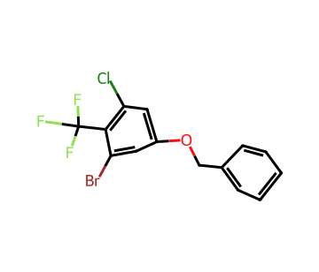 FC(F)(F)c1c(Cl)cc(OCc2ccccc2)cc1Br